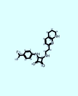 O=C1C(=O)C(Nc2ccc(C(F)F)cc2)C1NCCc1ccc2c(n1)NCCC2